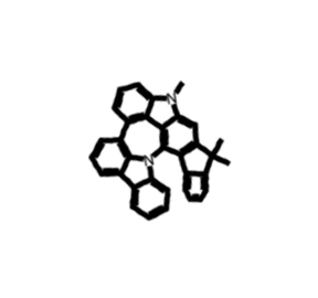 Cn1c2cccc3c4cccc5c6ccccc6n(c6c7c(cc1c6c32)C(C)(C)c1ccccc1-7)c45